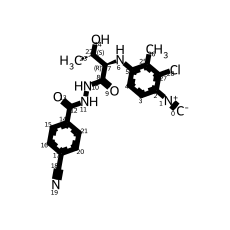 [C-]#[N+]c1ccc(N[C@@H](C(=O)NNC(=O)c2ccc(C#N)cc2)[C@H](C)O)c(C)c1Cl